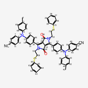 Cc1ccc(N(c2ccc(C#N)cc2)c2ccc(C3=C4C(=O)N(CCSc5ccccc5)C(c5ccc(N(c6ccc(C)cc6)c6ccc(C#N)cc6)cc5)=C4C(=O)N3CCSc3ccccc3)cc2)cc1